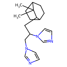 CC1(C)C2CCC(CC2)C1CC(Cn1ccnc1)n1ccnc1